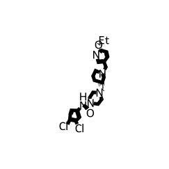 CCOc1ccc(CN2CCC[C@@H](CN3CCN(C(=O)Nc4ccc(Cl)c(Cl)c4)CC3)C2)cn1